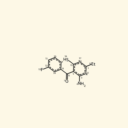 CCc1nc(N)c(C(=O)c2cccc(F)c2)c(S)n1